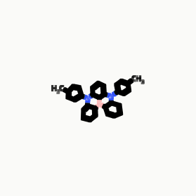 Cc1ccc(N2C3=CC=CC4C3B(c3ccccc3N4c3ccc(C)cc3)C3C=CC=CC32)cc1